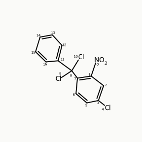 O=[N+]([O-])c1cc(Cl)ccc1C(Cl)(Cl)c1ccccc1